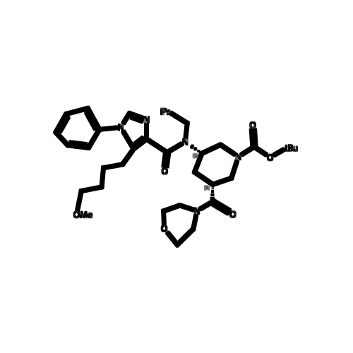 COCCCCc1c(C(=O)N(CC(C)C)[C@H]2C[C@@H](C(=O)N3CCOCC3)CN(C(=O)OC(C)(C)C)C2)ncn1-c1ccccc1